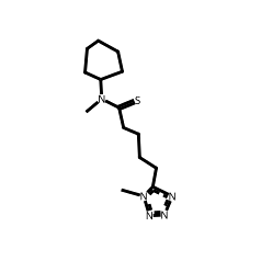 CN(C(=S)CCCCc1nnnn1C)C1CCCCC1